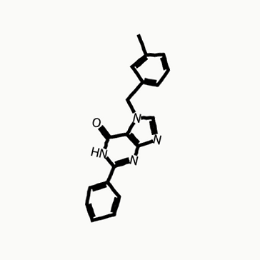 Cc1cccc(Cn2cnc3nc(-c4ccccc4)[nH]c(=O)c32)c1